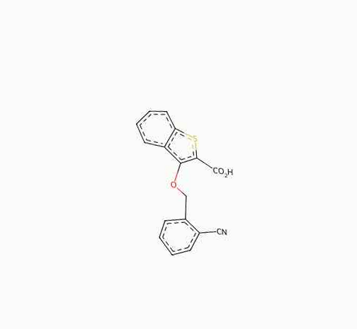 N#Cc1ccccc1COc1c(C(=O)O)sc2ccccc12